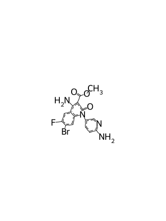 COC(=O)c1c(N)c2cc(F)c(Br)cc2n(-c2ccc(N)nc2)c1=O